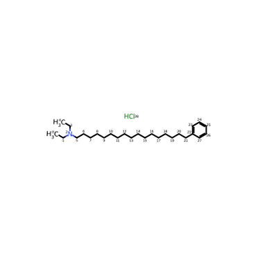 CCN(CC)CCCCCCCCCCCCCCCCCc1ccccc1.Cl